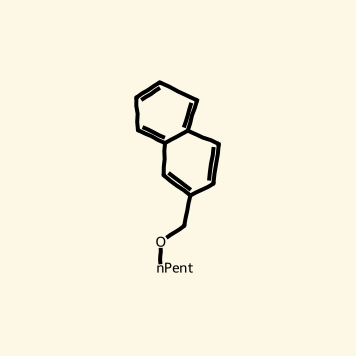 [CH2]CCCCOCc1ccc2ccccc2c1